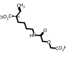 C=C[C@@H](CCCCNC(=O)COCC(=O)O)C(=O)OCC